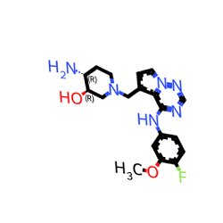 COc1cc(Nc2ncnn3ccc(CN4CC[C@@H](N)[C@H](O)C4)c23)ccc1F